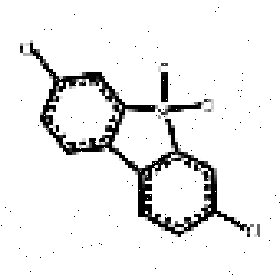 Clc1ccc2c(c1)[Si](Cl)(Cl)c1cc(Cl)ccc1-2